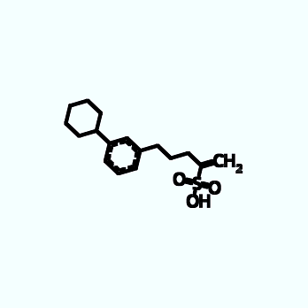 C=C(CCCc1cccc(C2CCCCC2)c1)S(=O)(=O)O